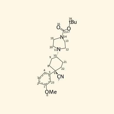 COc1cccc([C@]2(C#N)CC[C@H](N3CCN(C(=O)OC(C)(C)C)CC3)CC2)c1